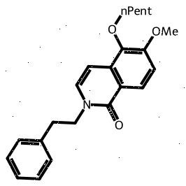 CCCCCOc1c(OC)ccc2c(=O)n(CCc3ccccc3)ccc12